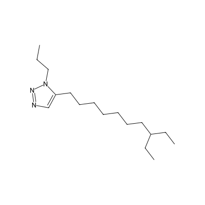 CCCn1nncc1CCCCCCCC(CC)CC